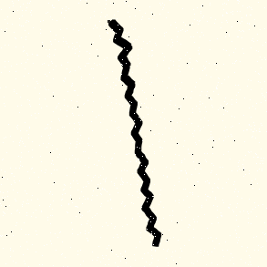 [CH]=CC=CC=CC=CCCCCCCCCCCCCCCCCC